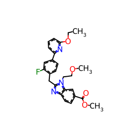 CCOc1cccc(-c2ccc(Cc3nc4ccc(C(=O)OC)cc4n3CCOC)c(F)c2)n1